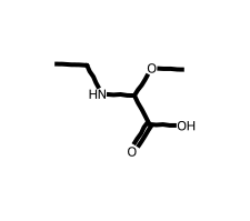 CCNC(OC)C(=O)O